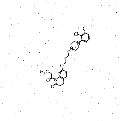 CCC(=O)N1C(=O)CCc2ccc(OCCCCN3CCN(c4cccc(Cl)c4Cl)CC3)cc21